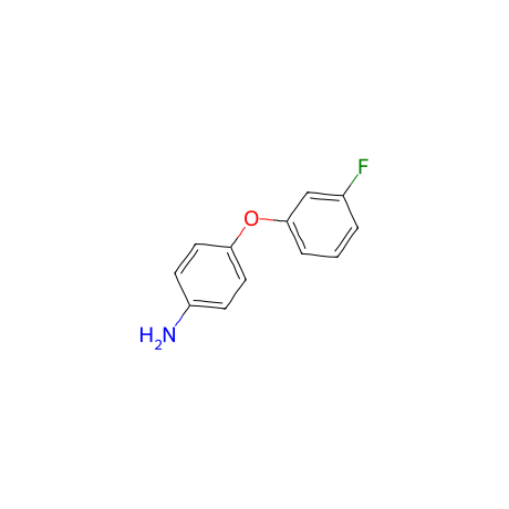 Nc1ccc(Oc2cccc(F)c2)cc1